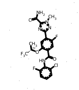 C[C@H](Oc1cc(-c2nc(C(N)=O)n(C)n2)c(F)cc1C(=O)Nc1c(F)cccc1Cl)C(F)(F)F